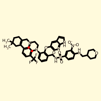 CC1(C)CCC(CN2CCN(c3cccc(C(=O)NS(=O)(=O)c4ccc(NCC5CCOCC5)c([N+](=O)[O-])c4)c3Oc3cnc4[nH]ccc4c3)CC2)=C(c2ccc(C(F)(F)F)cc2F)C1